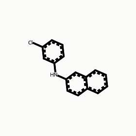 Clc1cccc(Nc2ccc3ccccc3c2)c1